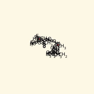 C=CCOC(=O)N[C@H](C(=O)N[C@@H](CCCNC(N)=O)C(=O)Nc1ccc(C[N+]2(CCOc3ccc(CC(=O)N4CCc5cc(-c6cc(C(=O)N(c7ccc(OC(=O)C(F)(F)F)cc7)c7cnn(C(F)F)c7)c(C)n6C)c(C(=O)N6Cc7ccccc7C[C@H]6C)cc5C4)cc3)CCOCC2)c(CNC)c1)C(C)C